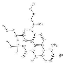 CCCCC(=O)Oc1ccc(C(C(C)C(C)OC(=O)OC(C)(C)CC)[C@H](N)C(=O)O)cc1OC(=O)CCCC